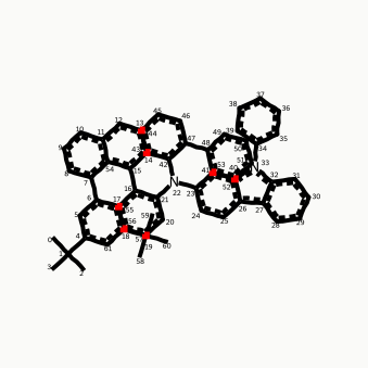 CC(C)(C)c1cc(-c2cccc3cccc(-c4ccccc4N(c4ccc5c6ccccc6n(-c6ccccc6)c5c4)c4ccccc4-c4ccccc4)c23)cc(C(C)(C)C)c1